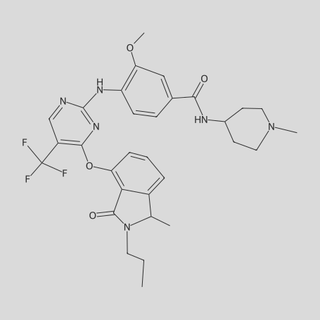 CCCN1C(=O)c2c(Oc3nc(Nc4ccc(C(=O)NC5CCN(C)CC5)cc4OC)ncc3C(F)(F)F)cccc2C1C